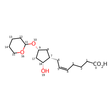 O=C(O)CCC/C=C\C[C@H]1C[C@@H](OC2CCCCO2)C[C@H]1O